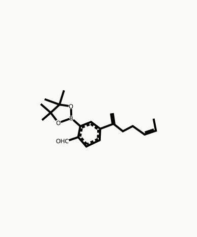 C=C(CC/C=C\C)c1ccc(C=O)c(B2OC(C)(C)C(C)(C)O2)c1